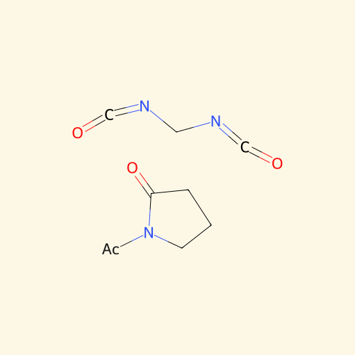 CC(=O)N1CCCC1=O.O=C=NCN=C=O